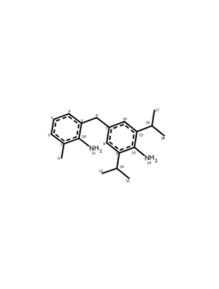 Cc1cccc(Cc2cc(C(C)C)c(N)c(C(C)C)c2)c1N